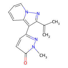 C=C(C)c1nn2ccccc2c1-c1ccc(=O)n(C)n1